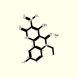 CCn1c(=O)c2c(O)c([N+](=O)[O-])c(=O)oc2c2cc(F)ccc21.[Na]